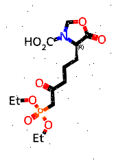 CCOP(=O)(CC(=O)CCC[C@@H]1C(=O)OCN1C(=O)O)OCC